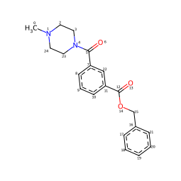 CN1CCN(C(=O)c2cccc(C(=O)OCc3ccccc3)c2)CC1